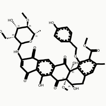 COC(=O)c1c(C)cc2c(c1OCc1ccc(O)cc1)[C@]1(O)C(=O)c3cc4c(c(O)c3C(=O)[C@]1(OC)[C@H](O)C2)C(=O)C=C(NC1O[C@@H](C)[C@H](OC)[C@@H](O)[C@H]1CO)C4=O